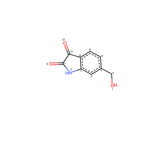 O=C1Nc2cc(CO)ccc2C1=O